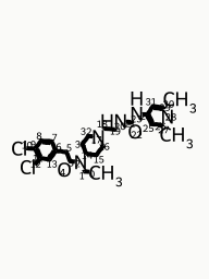 CCN(C(=O)Cc1ccc(Cl)c(Cl)c1)C1CCN(CCNC(=O)Nc2cc(C)nc(C)c2)CC1